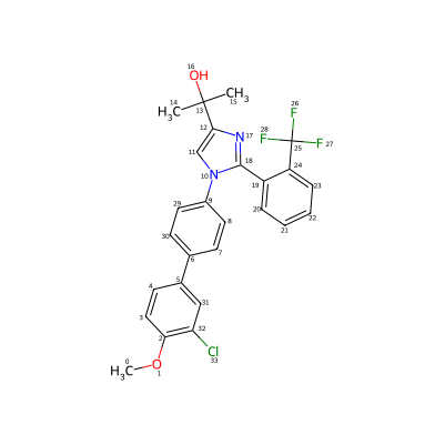 COc1ccc(-c2ccc(-n3cc(C(C)(C)O)nc3-c3ccccc3C(F)(F)F)cc2)cc1Cl